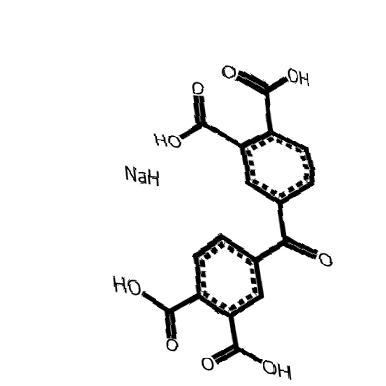 O=C(c1ccc(C(=O)O)c(C(=O)O)c1)c1ccc(C(=O)O)c(C(=O)O)c1.[NaH]